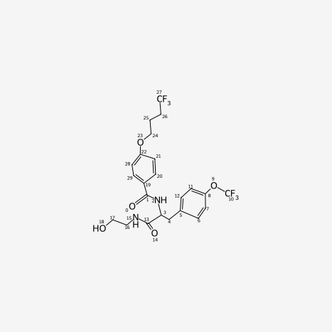 O=C(NC(Cc1ccc(OC(F)(F)F)cc1)C(=O)NCCO)c1ccc(OCCCC(F)(F)F)cc1